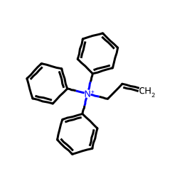 C=CC[N+](c1ccccc1)(c1ccccc1)c1ccccc1